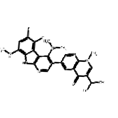 CNc1cc(F)c(F)c2c1[nH]c1ncc(-c3cnc4c(c3)c(=O)c(C(O)O)cn4C)c(N(C)C)c12